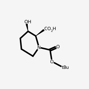 CC(C)(C)OC(=O)N1CCC[C@@H](O)[C@H]1C(=O)O